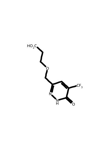 O=C(O)CCOCc1cc(C(F)(F)F)c(=O)[nH]n1